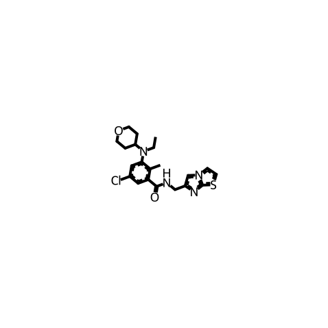 CCN(c1cc(Cl)cc(C(=O)NCc2cn3ccsc3n2)c1C)C1CCOCC1